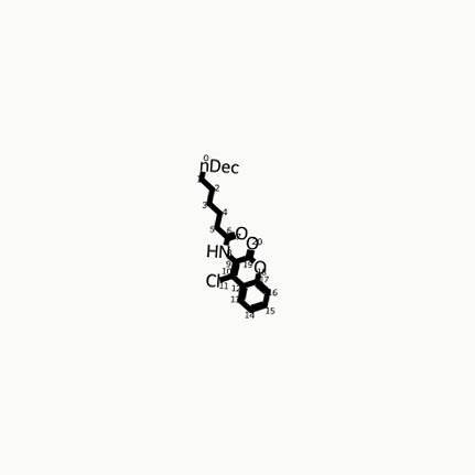 CCCCCCCCCCCCCCCC(=O)Nc1c(Cl)c2ccccc2oc1=O